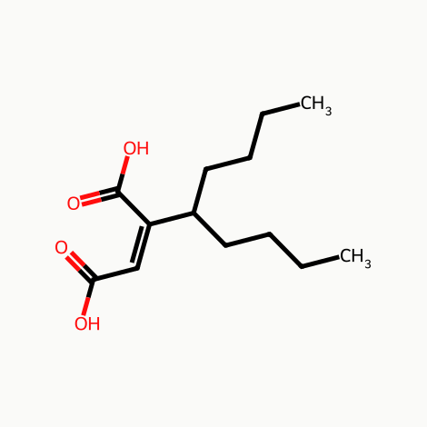 CCCCC(CCCC)/C(=C/C(=O)O)C(=O)O